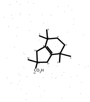 CC1(C)CCC(C)(C)C2=C1CC(C)(C(=O)O)C2